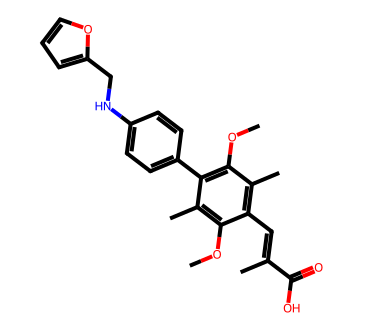 COc1c(C)c(-c2ccc(NCc3ccco3)cc2)c(OC)c(C)c1/C=C(\C)C(=O)O